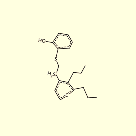 CCCc1cccc([SiH2]CSc2ccccc2O)c1CCC